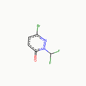 O=c1ccc(Br)nn1C(F)F